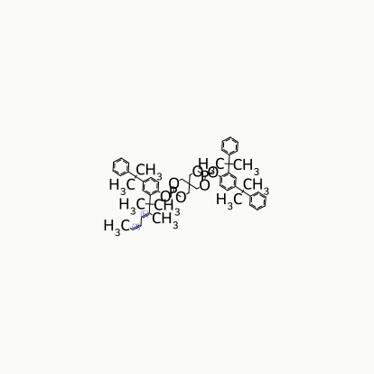 C/C=C\C=C(/C)C(C)(C)c1cc(C(C)(C)c2ccccc2)ccc1OP1OCC2(CO1)COP(Oc1ccc(C(C)(C)c3ccccc3)cc1C(C)(C)c1ccccc1)OC2